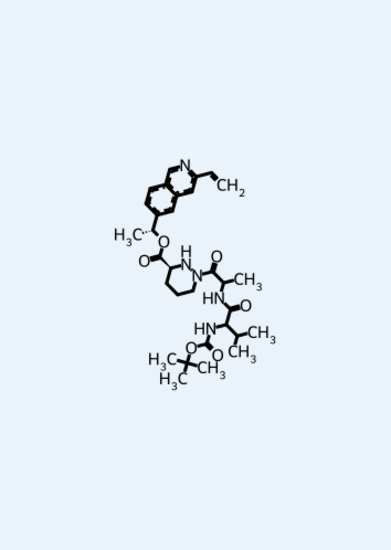 C=Cc1cc2cc([C@@H](C)OC(=O)[C@@H]3CCCN(C(=O)C(C)NC(=O)C(NC(=O)OC(C)(C)C)C(C)C)N3)ccc2cn1